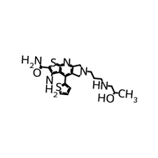 CC(O)CNCCCN1Cc2nc3sc(C(N)=O)c(N)c3c(-c3cccs3)c2C1